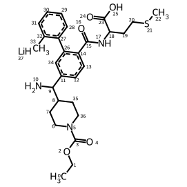 CCOC(=O)N1CCC(C(N)c2ccc(C(=O)NC(CCSC)C(=O)O)c(-c3ccccc3C)c2)CC1.[LiH]